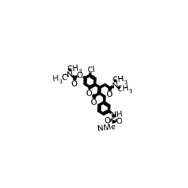 CNS(=O)(=O)Nc1cccc(Cc2c(CC(=O)N(C)C)c3cc(Cl)c(OC(=O)N(C)C)cc3oc2=O)c1